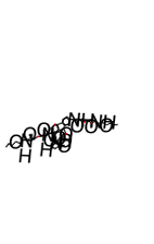 CCCOCCNC(=O)CCCC(=O)Nc1ccc2c(c1)C(OC(=O)ON1C(=O)CCC1=O)c1cc(NC(=O)CCCC(=O)NCCOCCC)ccc1-2